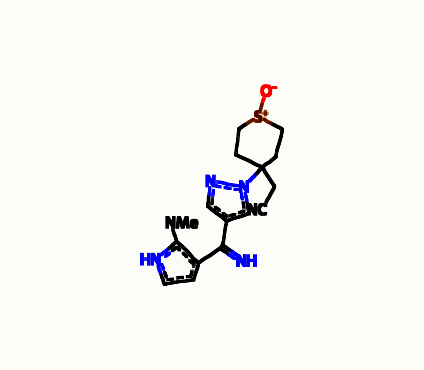 CNc1[nH]ccc1C(=N)c1cnn(C2(CC#N)CC[S+]([O-])CC2)c1